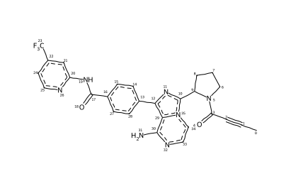 CC#CC(=O)N1CCCC1c1nc(-c2ccc(C(=O)Nc3cc(C(F)(F)F)ccn3)cc2)c2c(N)nccn12